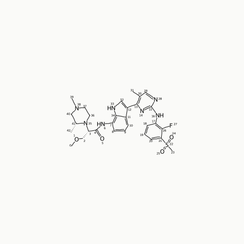 COC[C@@H](C(=O)Nc1cccc2c(-c3nc(Nc4cccc(S(C)(=O)=O)c4F)ncc3C)c[nH]c12)N1CCN(C)C[C@H]1C